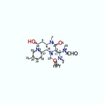 C=N/C(=C(/C(=O)N(C)CCCO)N(COCCC)Cc1ccc(C)cn1)N(C)C=O